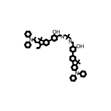 C=CC1=C(/C=C(\C)N(c2ccccc2)c2ccccc2)C(C)(C)c2cc(-c3ccc(/C=N/CC(C)(C)C/N=C/c4ccc(-c5ccc6c(c5)C(C)(C)c5cc(N(c7ccccc7)c7ccccc7)ccc5-6)cc4O)c(O)c3)ccc21